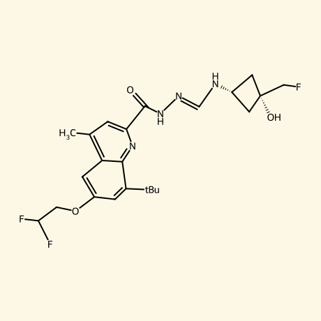 Cc1cc(C(=O)N/N=C/N[C@H]2C[C@](O)(CF)C2)nc2c(C(C)(C)C)cc(OCC(F)F)cc12